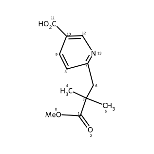 COC(=O)C(C)(C)Cc1ccc(C(=O)O)cn1